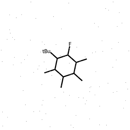 CC1C(C)C(C)C(C(C)(C)C)C(F)C1C